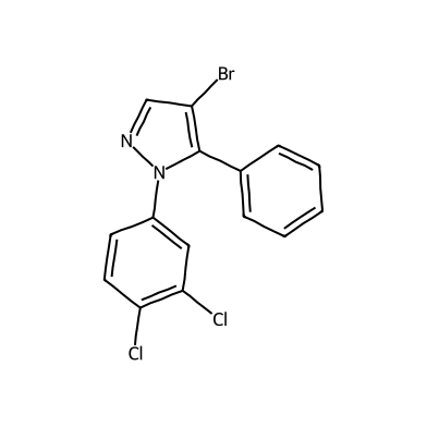 Clc1ccc(-n2ncc(Br)c2-c2ccccc2)cc1Cl